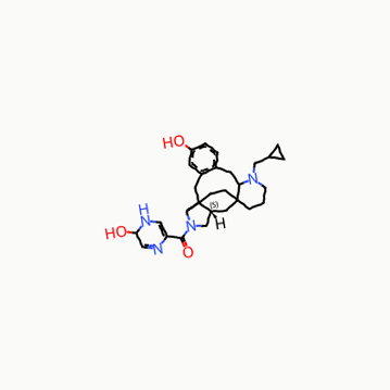 O=C(C1=CNC(O)C=N1)N1C[C@H]2CC34CCCN(CC5CC5)C3Cc3ccc(O)cc3CC2C1CC4